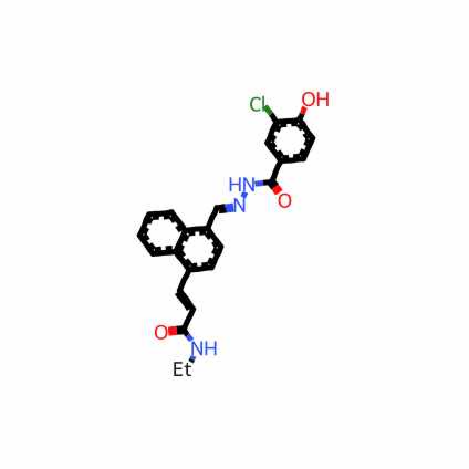 CCNC(=O)/C=C/c1ccc(/C=N/NC(=O)c2ccc(O)c(Cl)c2)c2ccccc12